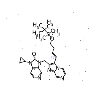 CC(C)(C)[Si](C)(C)OCC/C=C/c1c(Cn2c(=O)n(C3CC3)c3ccncc32)nc2cnccn12